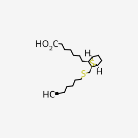 C#CCCCCCSC[C@H]1[C@@H](CCCCCCC(=O)O)[C@H]2CC[C@@H]1S2